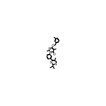 Cc1cccc(COc2nc(C)n(-c3cccc(-c4nc(C(C)C)ncc4C)c3)c(=O)c2C)c1